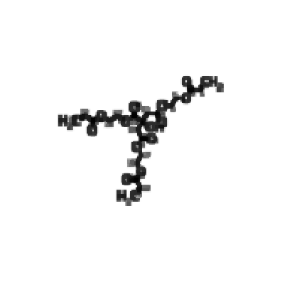 C=CC(=O)OCCOC(=O)CC(O)(CC(=O)OCCOC(=O)C=C)C(=O)OCCOC(=O)C=C